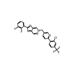 Fc1cccc(-c2nc3cnn(Cc4ccc(-c5ccc(C(F)(F)F)cc5Cl)nc4)cc-3n2)c1F